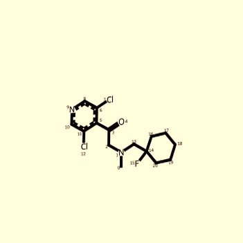 CN(CC(=O)c1c(Cl)cncc1Cl)CC1(F)CCCCC1